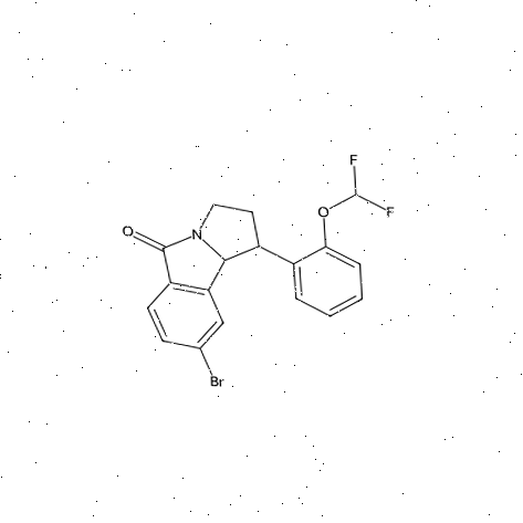 O=C1c2ccc(Br)cc2C2C(c3ccccc3OC(F)F)CCN12